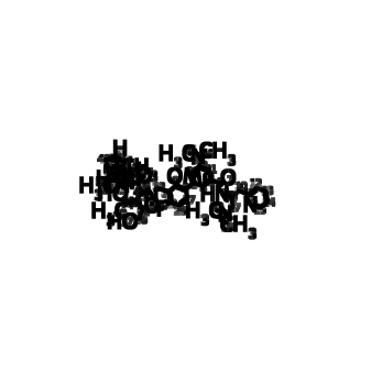 COc1c(C2C=C(C(=O)N[C@@H](Cc3ccccn3)CN(C)C)C=C(N(C)C)C2)ccc(F)c1CN1O[C@@H](CO)[C@@H]([C@H](C)O)[C@H]1C(=O)N[C@H]1C[C@H]2C[C@@H]([C@@H]1C)C2(C)C